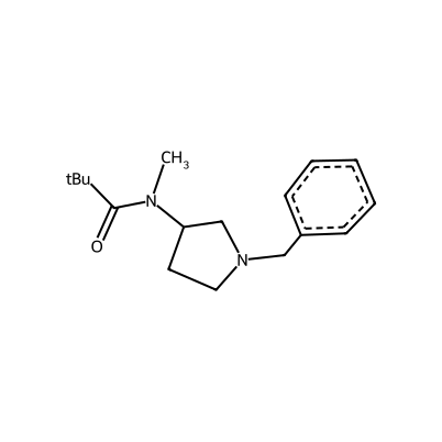 CN(C(=O)C(C)(C)C)C1CCN(Cc2ccccc2)C1